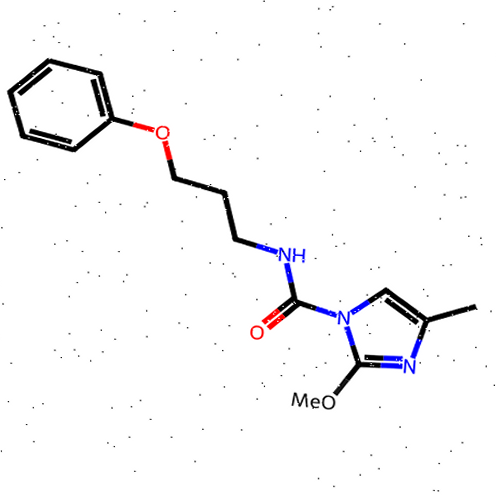 COc1nc(C)cn1C(=O)NCCCOc1ccccc1